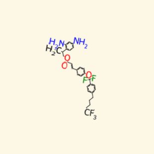 [CH2]C(COC(=O)/C=C/c1ccc(OC(F)(F)c2ccc(CCCCC(F)(F)F)cc2)cc1)c1ccc(N)cc1N